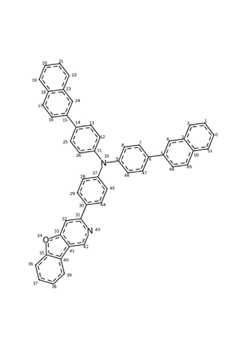 c1ccc2cc(-c3ccc(N(c4ccc(-c5ccc6ccccc6c5)cc4)c4ccc(-c5cc6oc7ccccc7c6cn5)cc4)cc3)ccc2c1